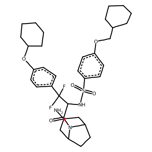 NC1CC2CCC(C1)N2C(=O)C(NS(=O)(=O)c1ccc(OCC2CCCCC2)cc1)C(F)(F)c1ccc(OC2CCCCC2)cc1